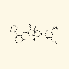 Cc1cc(C)nc(N2C[C@@H]3CN(Cc4c(F)cccc4-n4nccn4)C(=O)[C@@H]3C2)n1